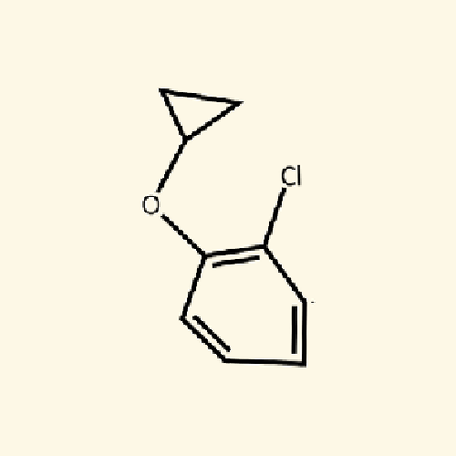 Clc1[c]cccc1OC1CC1